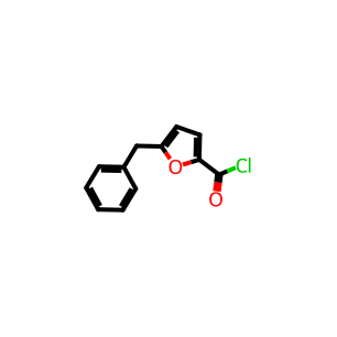 O=C(Cl)c1ccc(Cc2ccccc2)o1